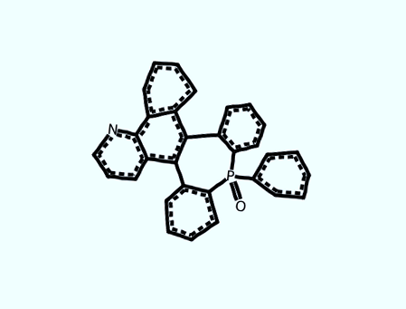 O=P1(c2ccccc2)c2ccccc2-c2c(c3cccnc3c3ccccc23)-c2ccccc21